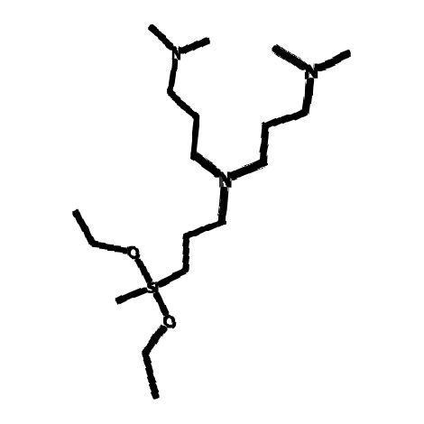 CCO[Si](C)(CCCN(CCCN(C)C)CCCN(C)C)OCC